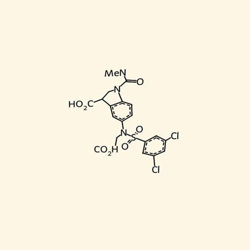 CNC(=O)N1CC(C(=O)O)c2cc(N(CC(=O)O)S(=O)(=O)c3cc(Cl)cc(Cl)c3)ccc21